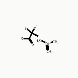 C=[N+](C)C.O=C([O-])C(F)(F)F